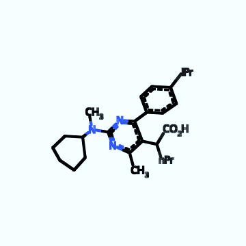 CCCC(C(=O)O)c1c(C)nc(N(C)C2CCCCC2)nc1-c1ccc(C(C)C)cc1